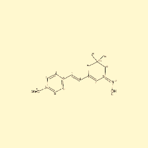 COc1ccc(C=CC2=CC(=NO)CC(C)(C)C2)cc1